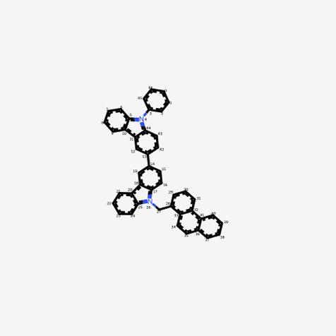 c1ccc(-n2c3ccccc3c3cc(-c4ccc5c(c4)c4ccccc4n5Cc4cccc5c4ccc4ccccc45)ccc32)cc1